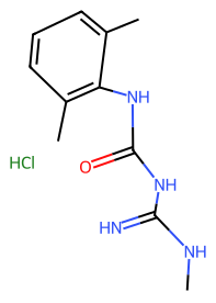 CNC(=N)NC(=O)Nc1c(C)cccc1C.Cl